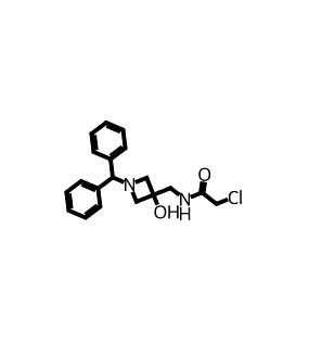 O=C(CCl)NCC1(O)CN(C(c2ccccc2)c2ccccc2)C1